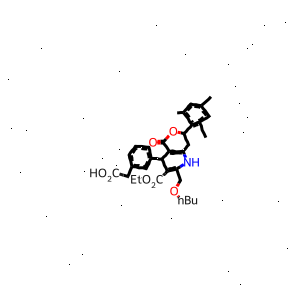 CCCCOCC1=C(C(=O)OCC)C(c2cccc(CC(=O)O)c2)C2=C(CC(c3c(C)cc(C)cc3C)OC2=O)N1